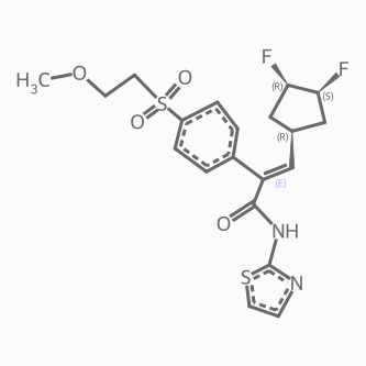 COCCS(=O)(=O)c1ccc(/C(=C\[C@H]2C[C@@H](F)[C@@H](F)C2)C(=O)Nc2nccs2)cc1